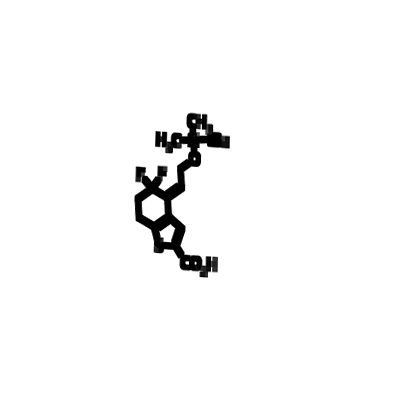 CC(C)(C)[Si](C)(C)OCC=C1c2cc(C(=O)O)sc2CCC1(F)F